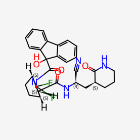 N#C[C@@H](C[C@@H]1CCCNC1=O)NC(=O)[C@@H]1[C@@H]2CC[C@@H](CC2(F)F)N1C(=O)C1(O)c2ccccc2-c2ccccc21